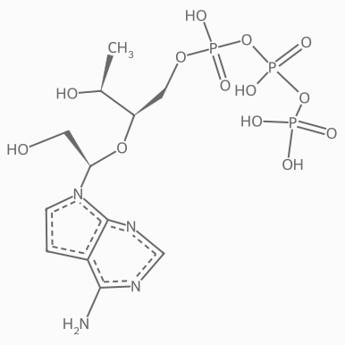 C[C@H](O)[C@@H](COP(=O)(O)OP(=O)(O)OP(=O)(O)O)O[C@H](CO)n1ccc2c(N)ncnc21